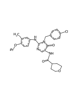 Cc1cc(Nc2ncc(NC(=O)C3CCOCC3)c(=O)n2Cc2ccc(Cl)cc2)ccc1OC(C)C